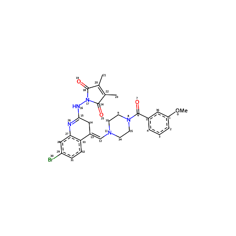 COc1cccc(C(=O)N2CCN(C=C3CC(NN4C(=O)C(C)=C(C)C4=O)=Nc4cc(Br)ccc43)CC2)c1